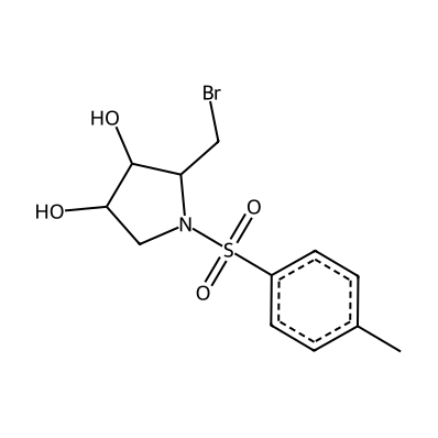 Cc1ccc(S(=O)(=O)N2CC(O)C(O)C2CBr)cc1